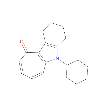 O=c1ccccc2c1c1c(n2C2CCCCC2)CCCC1